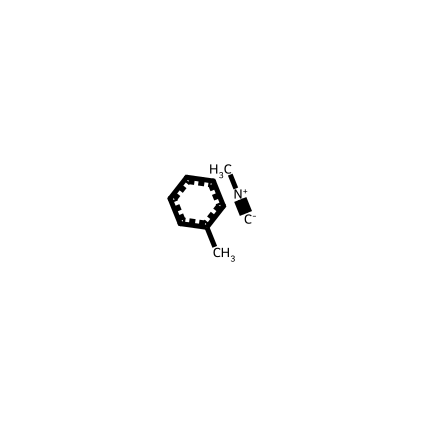 Cc1ccccc1.[C-]#[N+]C